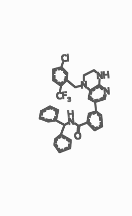 O=C(NC(c1ccccc1)c1ccccc1)c1cccc(-c2cnc3c(c2)N(Cc2cc(Cl)ccc2C(F)(F)F)CCN3)c1